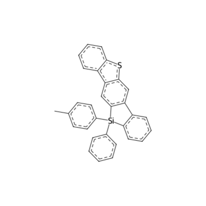 Cc1ccc([Si]2(c3ccccc3)c3ccccc3-c3cc4sc5ccccc5c4cc32)cc1